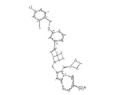 O=C(O)c1ccc2nc(CN3C4CCC45C3CN5c3cccc(OCc4ccc(C(F)(F)F)cc4F)n3)n(C[C@@H]3CCO3)c2c1